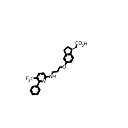 O=C(O)C[C@@H]1CCc2cc(OCCCNc3ccc(C(F)(F)F)c(-c4ccccc4)n3)ccc21